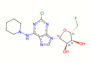 O[C@@H]1[C@H](O)[C@@H](CF)O[C@H]1n1cnc2c(NN3CCCCC3)nc(Cl)nc21